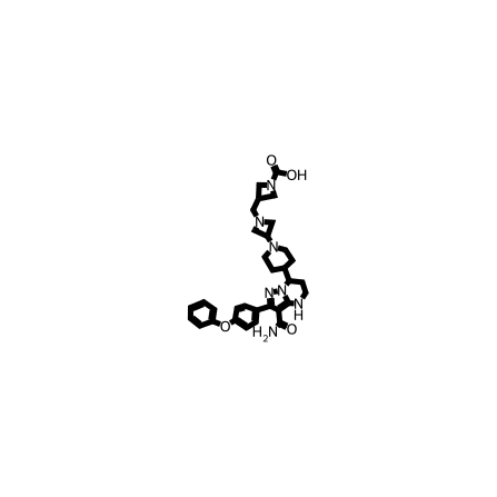 NC(=O)c1c(-c2ccc(Oc3ccccc3)cc2)nn2c1NCCC2C1CCN(C2CN(CC3CN(C(=O)O)C3)C2)CC1